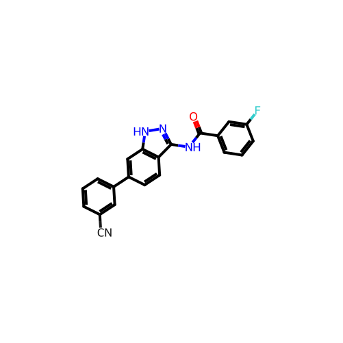 N#Cc1cccc(-c2ccc3c(NC(=O)c4cccc(F)c4)n[nH]c3c2)c1